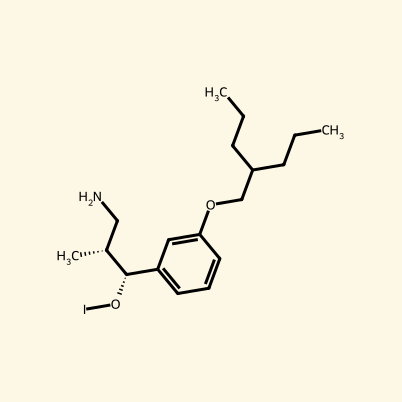 CCCC(CCC)COc1cccc([C@H](OI)[C@H](C)CN)c1